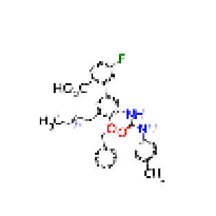 C/C=C/Cc1cc(-c2cc(F)ccc2C(=O)O)cc(NC(=O)Nc2ccc(C)cc2)c1OCc1ccccc1